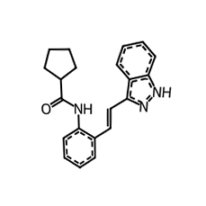 O=C(Nc1ccccc1C=Cc1n[nH]c2ccccc12)C1CCCC1